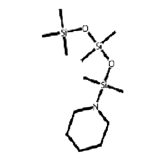 C[Si](C)(C)O[Si](C)(C)O[Si](C)(C)N1CCCCC1